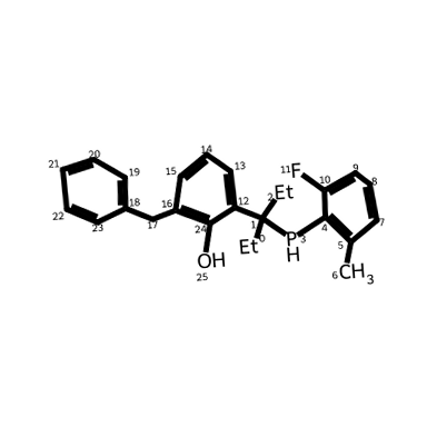 CCC(CC)(Pc1c(C)cccc1F)c1cccc(Cc2ccccc2)c1O